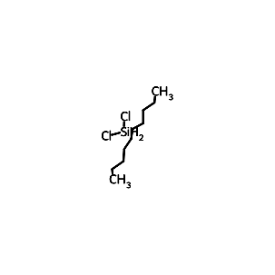 CCCCCCCCCC.Cl[SiH2]Cl